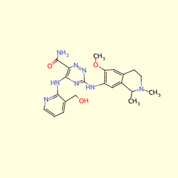 COc1cc2c(cc1Nc1nnc(C(N)=O)c(Nc3ncccc3CO)n1)C(C)N(C)CC2